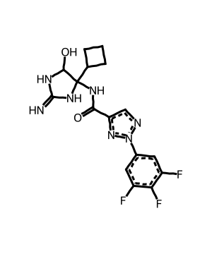 N=C1NC(O)C(NC(=O)c2cnn(-c3cc(F)c(F)c(F)c3)n2)(C2CCC2)N1